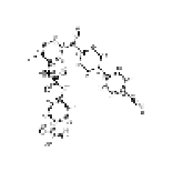 Cc1ccc(C(=O)N2CCC(c3ccc(C#N)cc3)CC2)cc1NS(=O)(=O)Cc1ccc(S(C)(=O)=O)cc1